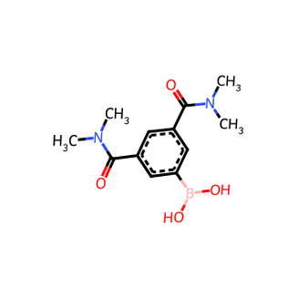 CN(C)C(=O)c1cc(B(O)O)cc(C(=O)N(C)C)c1